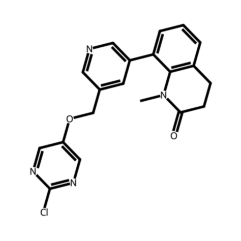 CN1C(=O)CCc2cccc(-c3cncc(COc4cnc(Cl)nc4)c3)c21